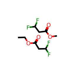 CCOC(=O)CC(F)F.COC(=O)CC(F)F